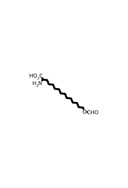 NC(CCCCCCCCCCCCCOC=O)C(=O)O